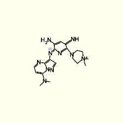 CN(C)c1ccnc2c(/N=C3\N=C(N4CC[N+](C)(C)CC4)C(=N)C=C3N)cnn12